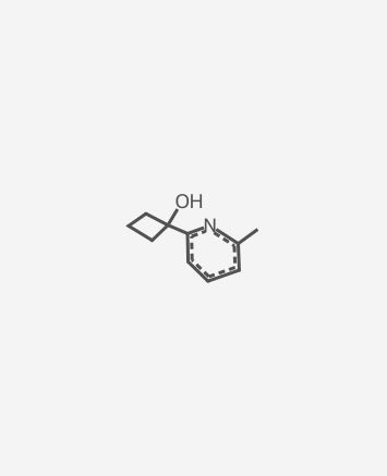 Cc1cccc(C2(O)CCC2)n1